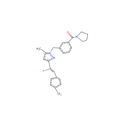 Cc1cc(/C(F)=C/c2ccc(C(F)(F)F)cc2)nn1Cc1cccc(C(=O)N2CCCC2)c1